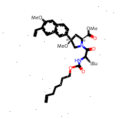 C=CCCCCCOC(=O)NC(C(=O)N1C[C@](OC)(c2ccc3cc(OC)c(C=C)cc3c2)C[C@H]1C(=O)OC)C(C)(C)C